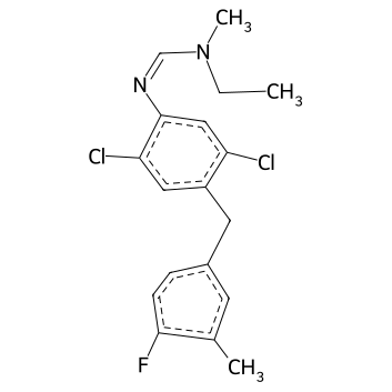 CCN(C)/C=N\c1cc(Cl)c(Cc2ccc(F)c(C)c2)cc1Cl